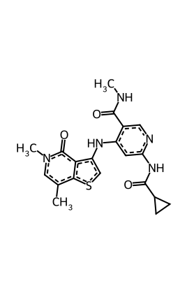 CNC(=O)c1cnc(NC(=O)C2CC2)cc1Nc1csc2c(C)cn(C)c(=O)c12